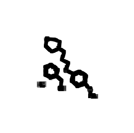 CCCCOc1ccc(OCCCN2CCOCC2)cc1.Cl.OCc1ccccc1